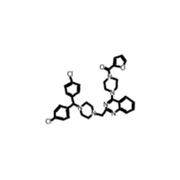 O=C(c1ccco1)N1CCN(c2nc(CN3CCN(C(c4ccc(Cl)cc4)c4ccc(Cl)cc4)CC3)nc3ccccc23)CC1